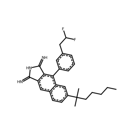 CCCCCC(C)(C)c1ccc2cc3c(c(-c4cccc(CC(F)F)c4)c2c1)C(=N)NC3=N